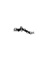 CC(C)(CCS(=O)(=O)CCOCCOCCO)NCl